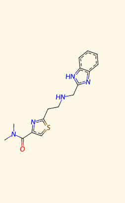 CN(C)C(=O)c1csc(CCNCc2nc3ccccc3[nH]2)n1